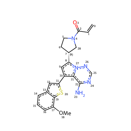 C=CC(=O)N1CC[C@@H](c2cc(-c3cc4cccc(OC)c4s3)c3c(N)ncnn23)C1